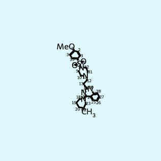 COc1ccc(S(=O)(=O)N2CCN(CCc3nc(N4CCCC(C)C4)c4ccccc4n3)CC2)cc1